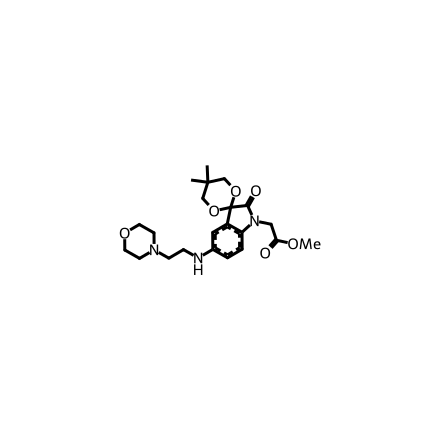 COC(=O)CN1C(=O)C2(OCC(C)(C)CO2)c2cc(NCCN3CCOCC3)ccc21